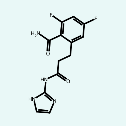 NC(=O)c1c(F)cc(F)cc1C[CH]C(=O)Nc1ncc[nH]1